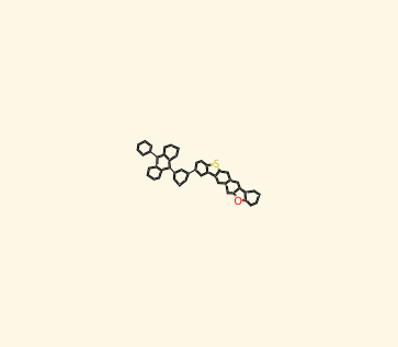 c1ccc(-c2c3ccccc3c(-c3cccc(-c4ccc5sc6cc7cc8c(cc7cc6c5c4)oc4ccccc48)c3)c3ccccc23)cc1